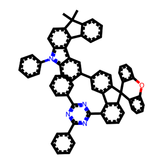 CC1(C)c2ccccc2-c2c1ccc1c2c2cc(-c3ccc4c(c3)-c3c(-c5nc(-c6ccccc6)nc(-c6ccccc6)n5)cccc3C43c4ccccc4Oc4ccccc43)ccc2n1-c1ccccc1